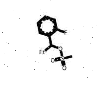 CCC(OS(C)(=O)=O)c1ccccc1F